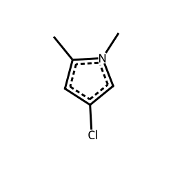 Cc1cc(Cl)cn1C